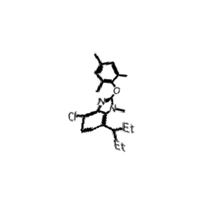 CCC(CC)c1ccc(Cl)c2nc(Oc3c(C)cc(C)cc3C)n(C)c12